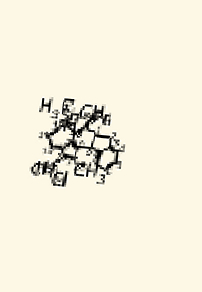 CC1=Cc2ccccc2C1C1=C2C(=CC=CC(=[Si](C)C)C2CC(C)C)[C]([Hf]([Cl])[Cl])=C1C